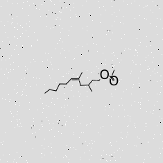 CCCCCC=C(C)CC(C)CCOC(C)=O